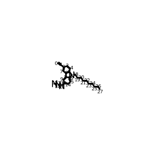 C#Cc1ccc2c(c1)c1cc(N=[N+]=[N-])ccc1n2CCCCCCCCCC